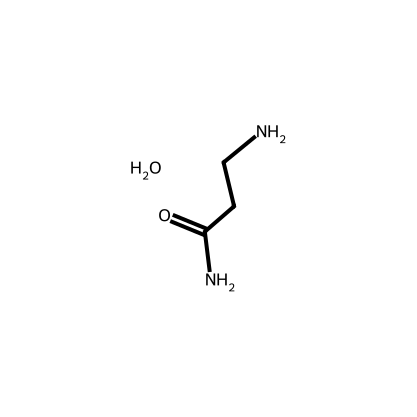 NCCC(N)=O.O